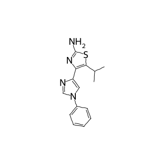 CC(C)c1sc(N)nc1-c1cn(-c2ccccc2)cn1